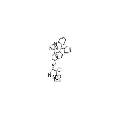 CC(C)(C)n1ncc(SCc2ccc(-c3ncnn3C(c3ccccc3)(c3ccccc3)c3ccccc3)cc2)c(Cl)c1=O